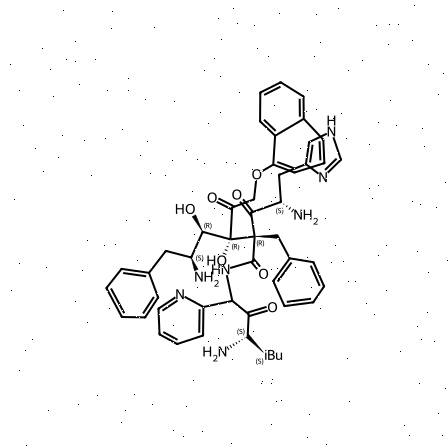 CC[C@H](C)[C@H](N)C(=O)C(NC(=O)[C@@](Cc1ccccc1)(C(=O)[C@@H](N)Cc1c[nH]cn1)[C@](O)(C(=O)COc1cccc2ccccc12)[C@H](O)[C@@H](N)Cc1ccccc1)c1ccccn1